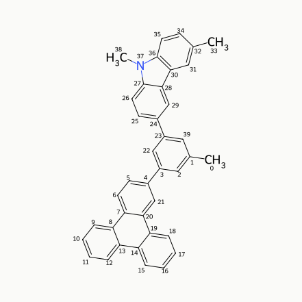 Cc1cc(-c2ccc3c4ccccc4c4ccccc4c3c2)cc(-c2ccc3c(c2)c2cc(C)ccc2n3C)c1